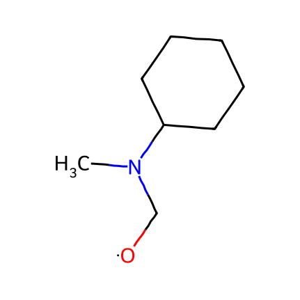 CN(C[O])C1CCCCC1